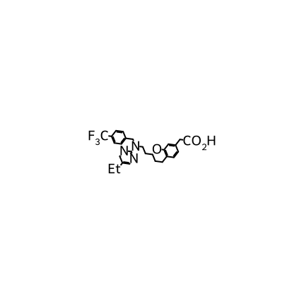 CCc1cnc(N(CCC2CCc3ccc(CC(=O)O)cc3O2)Cc2ccc(C(F)(F)F)cc2)nc1